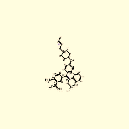 C/C=C/CN1CCC(Oc2ccc(/C(=C(/CC(F)F)c3ccccc3)c3ccc(N)c(C(=N)F)c3)cn2)CC1